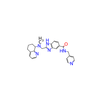 CN(Cc1nc2cc(C(=O)NCc3ccncc3)ccc2[nH]1)C1CCCc2cccnc21